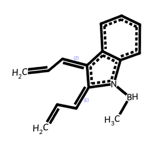 C=C/C=c1\c(=C/C=C)n(BC)c2ccccc12